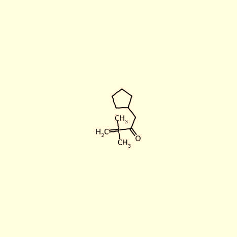 C=I(C)(C)C(=O)CC1CCCC1